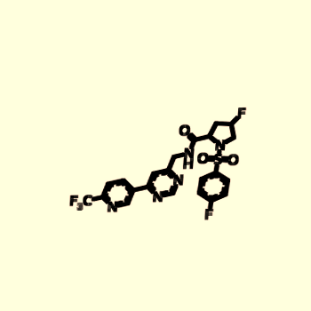 O=C(NCc1cc(-c2ccc(C(F)(F)F)nc2)ncn1)C1CC(F)CN1S(=O)(=O)c1ccc(F)cc1